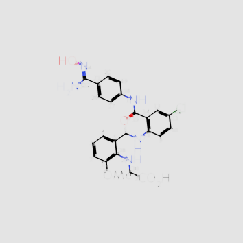 COc1cccc(CNc2ccc(Cl)cc2C(=O)Nc2ccc(/C(N)=N/O)cc2)c1NCC(=O)O